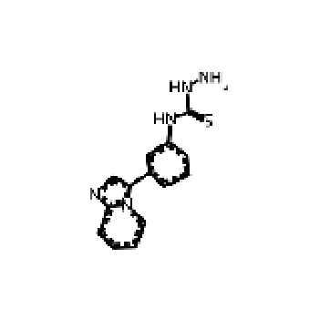 NNC(=S)Nc1cccc(-c2cnc3ccccn23)c1